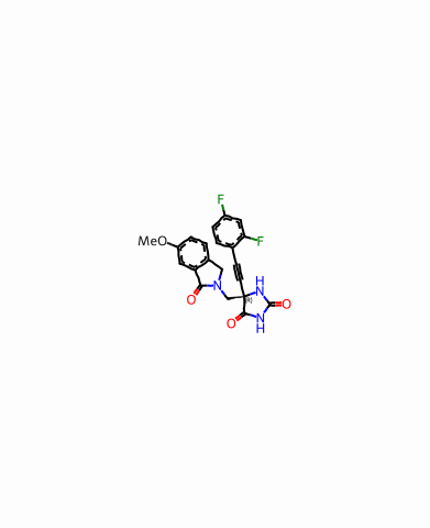 COc1ccc2c(c1)C(=O)N(C[C@@]1(C#Cc3ccc(F)cc3F)NC(=O)NC1=O)C2